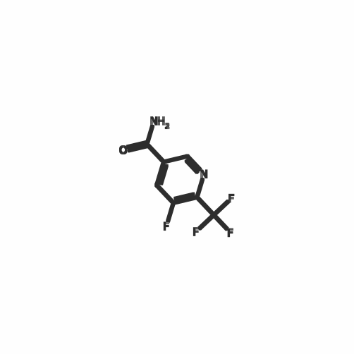 NC(=O)c1cnc(C(F)(F)F)c(F)c1